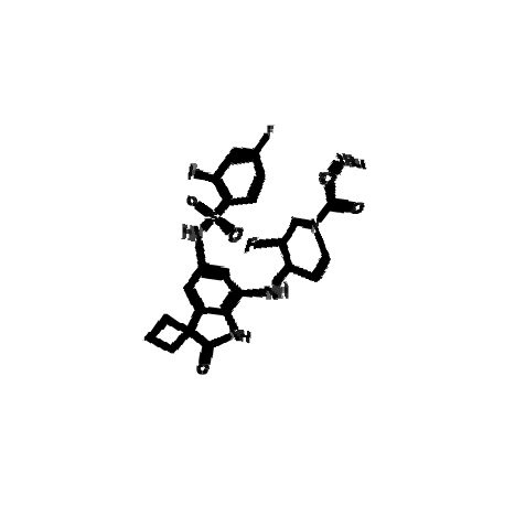 CC(C)(C)OC(=O)N1CCC(Nc2cc(NS(=O)(=O)c3ccc(F)cc3F)cc3c2NC(=O)C32CCC2)C(F)C1